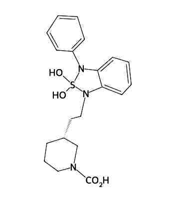 O=C(O)N1CCC[C@H](CCN2c3ccccc3N(c3ccccc3)S2(O)O)C1